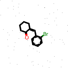 O=C1CCCC/C1=C/c1ccccc1Br